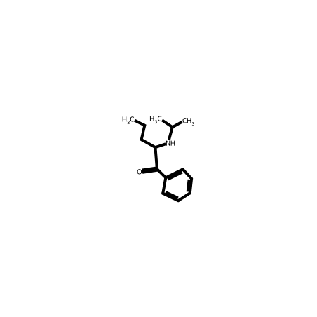 CCCC(NC(C)C)C(=O)c1ccccc1